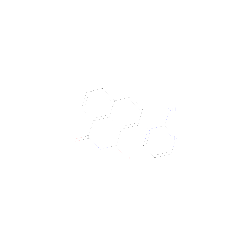 Nc1ncccn1.O=C1NC(=O)c2cccc3cccc1c23